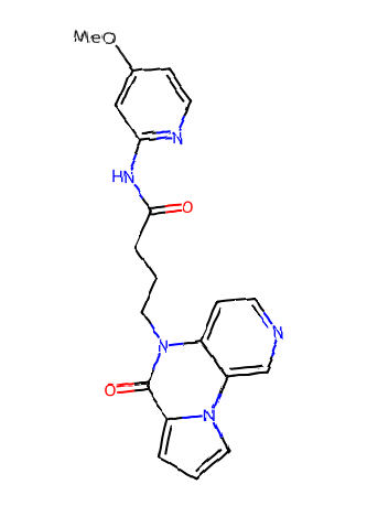 COc1ccnc(NC(=O)CCCn2c(=O)c3cccn3c3cnccc32)c1